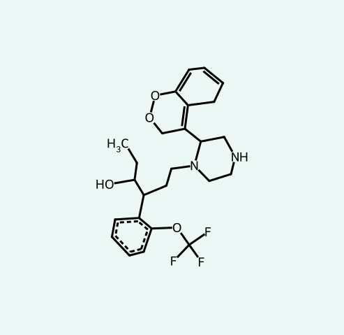 CCC(O)C(CCN1CCNCC1C1=C2CC=CC=C2OOC1)c1ccccc1OC(F)(F)F